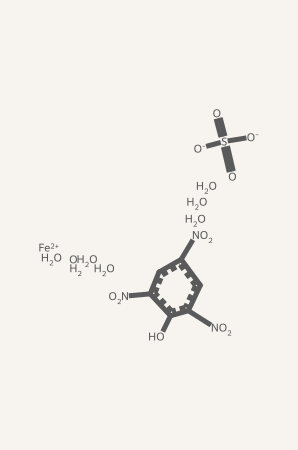 O.O.O.O.O.O.O.O=S(=O)([O-])[O-].O=[N+]([O-])c1cc([N+](=O)[O-])c(O)c([N+](=O)[O-])c1.[Fe+2]